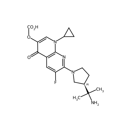 CC(C)(N)[C@@H]1CCN(c2nc3c(cc2F)c(=O)c(OC(=O)O)cn3C2CC2)C1